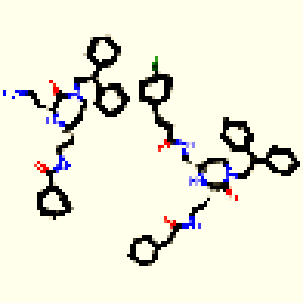 NCC[C@@H]1N[C@H](CCNC(=O)c2ccccc2)CCN(CC(c2ccccc2)c2ccccc2)C1=O.O=C(C=Cc1ccc(Cl)cc1)NC[C@@H]1CCN(CC(c2ccccc2)c2ccccc2)C(=O)[C@H](CCNC(=O)CC2CCCCC2)N1